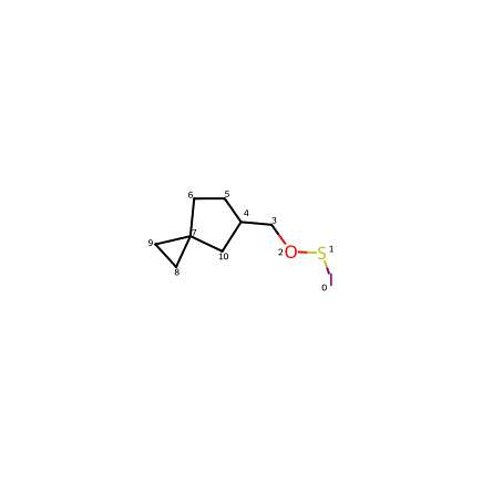 ISOCC1CCC2(CC2)C1